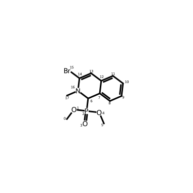 COP(=O)(OC)C1c2ccccc2C=C(Br)N1C